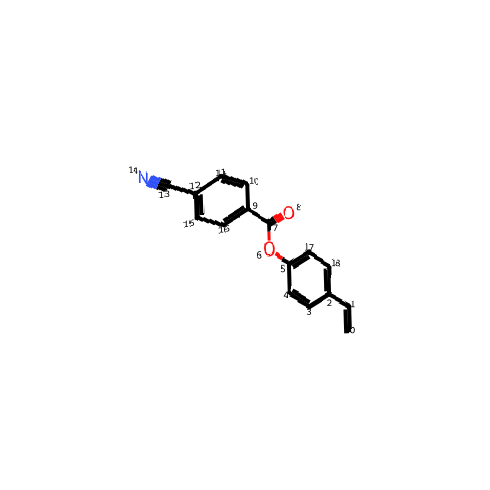 C=Cc1ccc(OC(=O)c2ccc(C#N)cc2)cc1